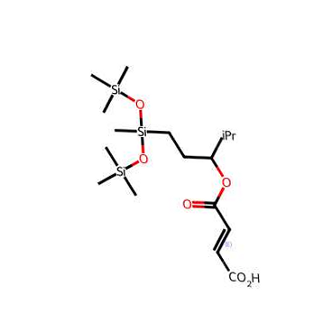 CC(C)C(CC[Si](C)(O[Si](C)(C)C)O[Si](C)(C)C)OC(=O)/C=C/C(=O)O